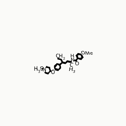 C=CC/C(=C\C=C(/C)NC(=O)c1ccc(OC)cc1)C1C=CC(OC2CCN(C)CC2)=CC1